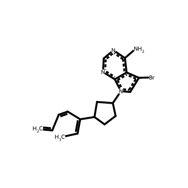 C=C/C=C\C(=C/C)C1CCC(n2cc(Br)c3c(N)ncnc32)C1